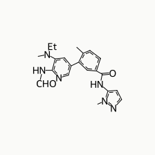 CCN(C)c1cc(-c2cc(C(=O)Nc3ccnn3C)ccc2C)cnc1NC=O